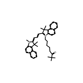 CN1/C(=C/C=C/C2=[N+](CCCCCC(=O)C(C)(C)C)c3ccc4ccccc4c3C2(C)C)C(C)(C)c2c1ccc1ccccc21